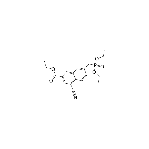 CCOC(=O)c1cc(C#N)c2ccc(CP(=O)(OCC)OCC)cc2c1